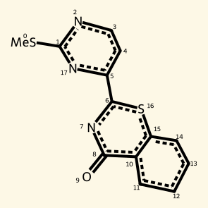 CSc1nccc(-c2nc(=O)c3ccccc3s2)n1